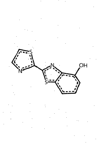 Oc1cccc2sc(-c3nccs3)nc12